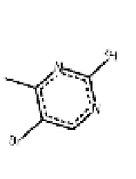 [2H]c1ncc(Br)c(C)n1